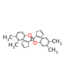 Cc1ccc([O][Zr]([O]c2ccc(C)c(C)c2)([C]2=CC=CC2)[C]2=CC=CC2)cc1C